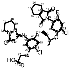 C#CC(C)Oc1cc(N2C(=O)C3=C(CCCC3)C2=O)c(F)cc1Cl.O=C(O)CSc1cc(N=c2sc(=O)n3n2CCCC3)c(F)cc1Cl